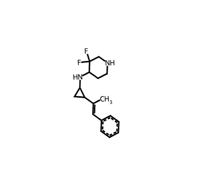 C/C(=C\c1ccccc1)C1CC1NC1CCNCC1(F)F